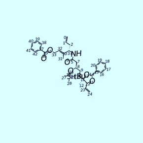 C=CC[C@H](NC(=O)C[C@@H](CC[C@@]1(C)O[C@@H](c2ccccc2)O[C@H]1C=C)O[Si](C)(C)C(C)(C)C)/C(C)=C/COC(=O)c1ccccc1